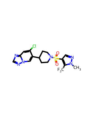 Cn1ncc(S(=O)(=O)N2CCC(c3cn4ncnc4cc3Cl)CC2)c1C(F)(F)F